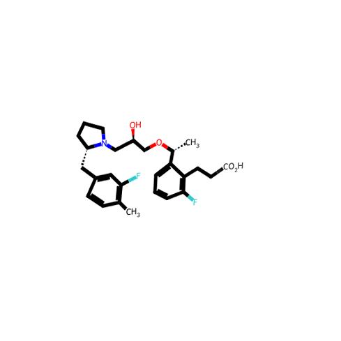 Cc1ccc(C[C@@H]2CCCN2C[C@@H](O)CO[C@H](C)c2cccc(F)c2CCC(=O)O)cc1F